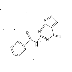 O=C1N=C(NC(=O)c2ccccc2)N=C2N=CC=C12